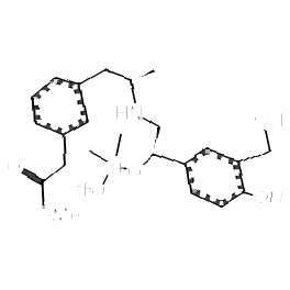 COC(=O)Cc1cccc(C[C@@H](C)NC[C@H](O[Si](C)(C)C(C)(C)C)c2ccc(O)c(CO)c2)c1